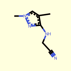 Cc1cn(C)nc1NCC#N